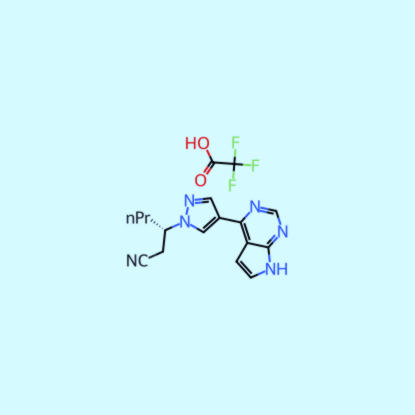 CCC[C@@H](CC#N)n1cc(-c2ncnc3[nH]ccc23)cn1.O=C(O)C(F)(F)F